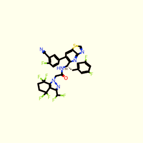 N#Cc1cc(-c2cc3scnc3nc2[C@H](Cc2cc(F)cc(F)c2)NC(=O)Cn2nc(C(F)F)c3c2C(F)(F)CCC3(F)F)ccc1F